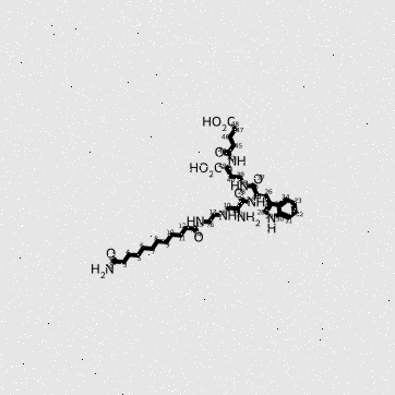 NC(=O)CCCCCCCCCCC(=O)NCCNC[C@H](N)C(=O)N[C@H](Cc1c[nH]c2ccccc12)C(=O)NCC[C@@H](NC(=O)CCCC(=O)O)C(=O)O